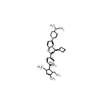 C=C(/C=C\C(=C/C)C1=CC(=C2CCC2)N2C=C(N3CCC(N(C)C)CC3)C=CC2=N1)C1C(C)C=C(C)C1CC